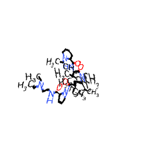 CCN(CC)CCNC(=O)[C@@H]1CCCN1C(=O)/C(C)=C/[C@H](C(C)C)N(C)C(=O)[C@@H](NC(=O)C1CCCCN1C(C)C)C(C)(C)C